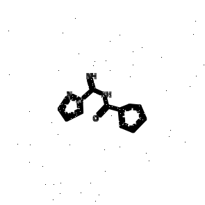 N=C(NC(=O)c1ccccc1)n1cccn1